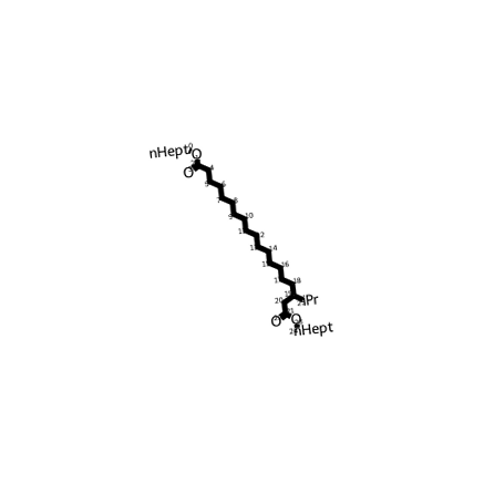 CCCCCCCOC(=O)CCCCCCCCCCCCCCCC(CC(=O)OCCCCCCC)C(C)C